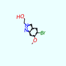 COc1cc2nn(CCO)cc2cc1Br